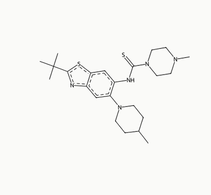 CC1CCN(c2cc3nc(C(C)(C)C)sc3cc2NC(=S)N2CCN(C)CC2)CC1